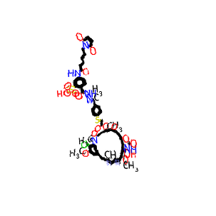 COc1cc2cc(c1Cl)N(C)C(=O)C[C@H](OC(=O)CSc1ccc(/C(C)=N/NC(=O)c3ccc(NC(=O)CCCCCN4C(=O)C=CC4=O)cc3S(=O)(=O)O)cc1)C1(C)OC1CC1C[C@@](O)(NC(=O)O1)[C@H](OC)/C=C/C=C(\C)C2